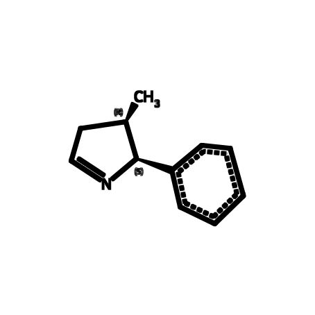 C[C@@H]1CC=N[C@@H]1c1ccccc1